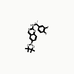 C[C@@H](Nc1ncc2cc(B3OC(C)(C)C(C)(C)O3)ccc2n1)c1ccc(F)c(F)c1